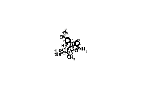 C[C@@H](CO[Si](C)(C)C(C)(C)C)OC1=NC(C)(Oc2ccc(C(=O)N3CCC3)cc2F)N(c2ccccc2C(N)=O)S1